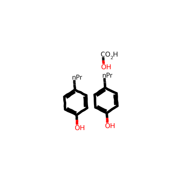 CCCc1ccc(O)cc1.CCCc1ccc(O)cc1.O=C(O)O